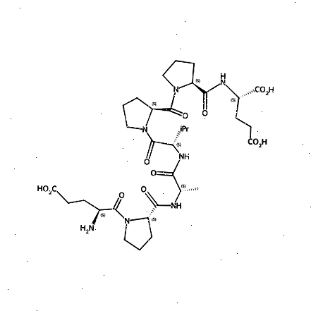 CC(C)[C@H](NC(=O)[C@H](C)NC(=O)[C@@H]1CCCN1C(=O)[C@@H](N)CCC(=O)O)C(=O)N1CCC[C@H]1C(=O)N1CCC[C@H]1C(=O)N[C@@H](CCC(=O)O)C(=O)O